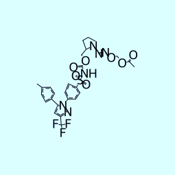 CC(=O)OCON=NN1CCCC1COC(=O)NS(=O)(=O)c1ccc(-n2nc(C(F)(F)F)cc2-c2ccc(C)cc2)cc1